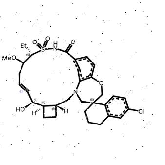 CC[C@H]1C(OC)C/C=C/[C@H](O)[C@@H]2CC[C@H]2CN2C[C@@]3(CCCc4cc(Cl)ccc43)COc3ccc(cc32)C(=O)NS1(=O)=O